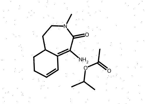 CC(=O)OC(C)C.CN1CCC2CCC=CC2=C(N)C1=O